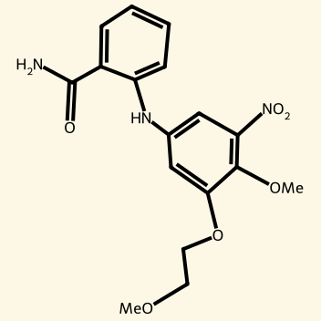 COCCOc1cc(Nc2ccccc2C(N)=O)cc([N+](=O)[O-])c1OC